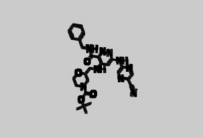 CC(C)(C)OC(=O)N1CCOC(CNc2cc(Nc3cnc(C#N)cn3)nnc2C(=O)NCc2ccccc2)C1